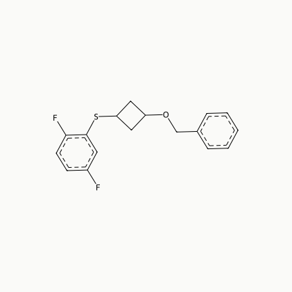 Fc1ccc(F)c(SC2CC(OCc3ccccc3)C2)c1